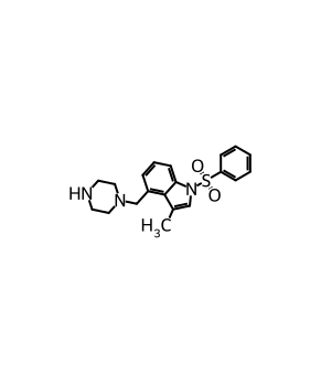 Cc1cn(S(=O)(=O)c2ccccc2)c2cccc(CN3CCNCC3)c12